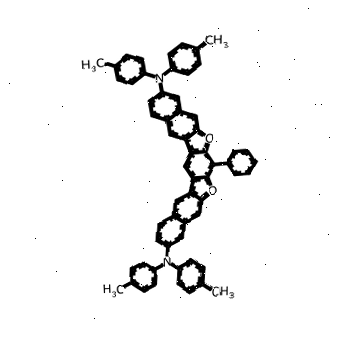 Cc1ccc(N(c2ccc(C)cc2)c2ccc3cc4c(cc3c2)oc2c(-c3ccccc3)c3oc5cc6cc(N(c7ccc(C)cc7)c7ccc(C)cc7)ccc6cc5c3cc24)cc1